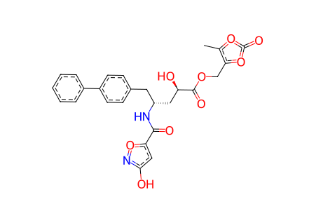 Cc1oc(=O)oc1COC(=O)[C@H](O)C[C@@H](Cc1ccc(-c2ccccc2)cc1)NC(=O)c1cc(O)no1